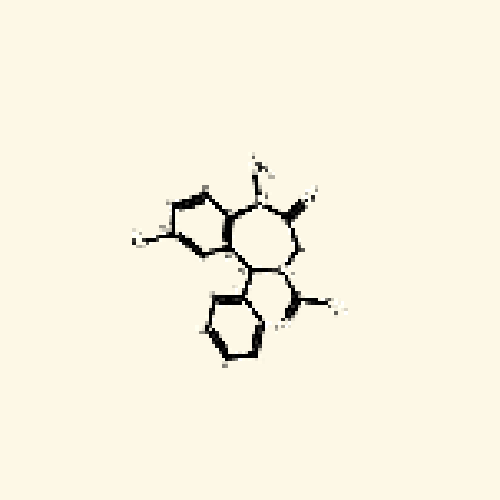 CC(=O)N1CC(=O)N(C)c2ccc(Cl)cc2C1c1ccccc1